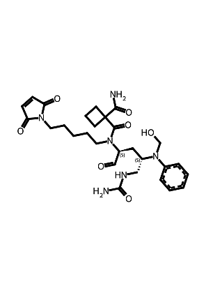 NC(=O)NC[C@H](C[C@@H](C=O)N(CCCCCN1C(=O)C=CC1=O)C(=O)C1(C(N)=O)CCC1)N(CO)c1ccccc1